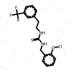 FC(F)(F)c1cccc(CCNC(=S)NCc2ccccc2OCl)c1